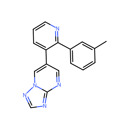 Cc1cccc(-c2ncccc2-c2cnc3ncnn3c2)c1